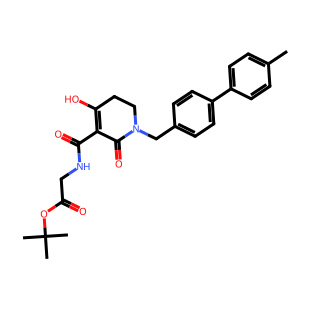 Cc1ccc(-c2ccc(CN3CCC(O)=C(C(=O)NCC(=O)OC(C)(C)C)C3=O)cc2)cc1